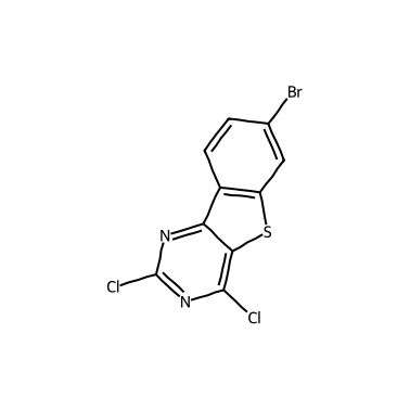 Clc1nc(Cl)c2sc3cc(Br)ccc3c2n1